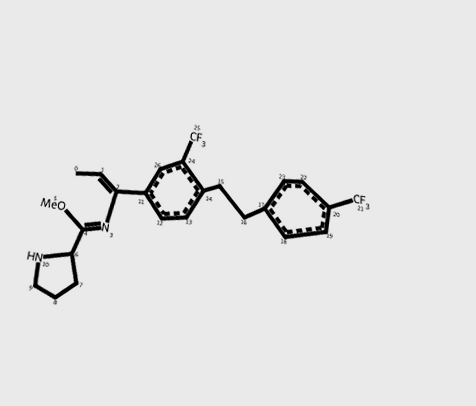 C/C=C(\N=C(/OC)C1CCCN1)c1ccc(CCc2ccc(C(F)(F)F)cc2)c(C(F)(F)F)c1